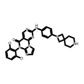 O=c1c2cnc(Nc3ccc(N4CC5(CCNCC5)C4)cc3)nc2n2ccnc2n1-c1c(Cl)cccc1Cl